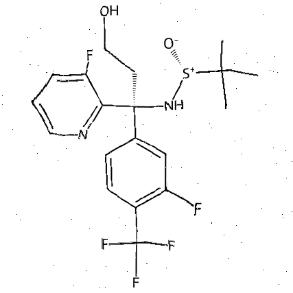 CC(C)(C)[S@@+]([O-])N[C@@](CCO)(c1ccc(C(F)(F)F)c(F)c1)c1ncccc1F